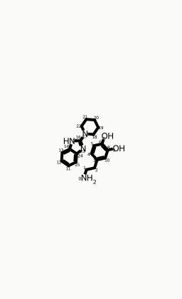 NCCc1ccc(O)c(O)c1.c1ccc2[nH]c(N3CCCCC3)nc2c1